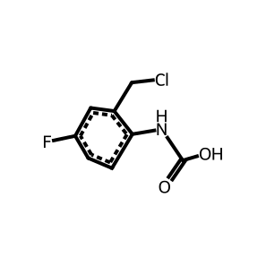 O=C(O)Nc1ccc(F)cc1CCl